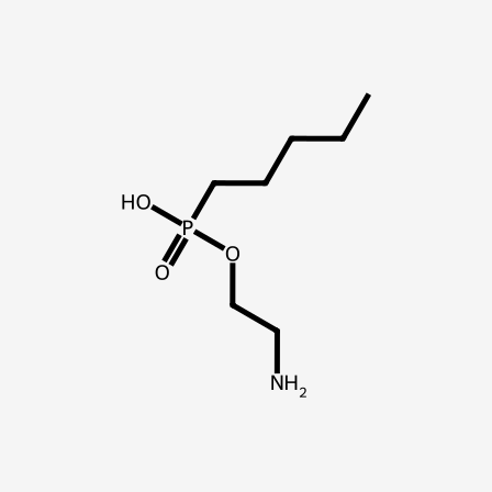 CCCCCP(=O)(O)OCCN